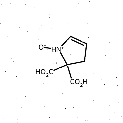 O=C(O)C1(C(=O)O)CC=C[NH+]1[O-]